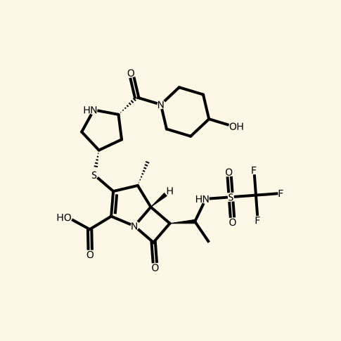 CC(NS(=O)(=O)C(F)(F)F)[C@H]1C(=O)N2C(C(=O)O)=C(S[C@@H]3CN[C@H](C(=O)N4CCC(O)CC4)C3)[C@H](C)[C@H]12